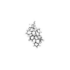 CC[C@@H](C)C(=O)N[C@H](C(=O)N1CCC[C@H]1C(=O)N[C@H](C(=O)NC)C(c1ccccc1)c1ccccc1)C1CCCCC1